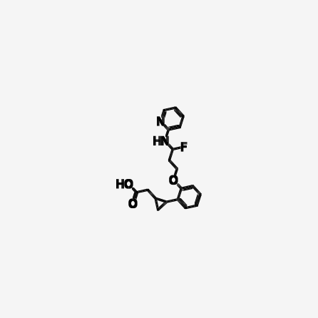 O=C(O)CC1CC1c1ccccc1OCCC(F)Nc1ccccn1